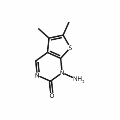 Cc1sc2c(cnc(=O)n2N)c1C